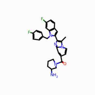 Cc1c(-c2cc3ccc(F)cc3n2Cc2ccc(F)cc2)nc2cc(C(=O)N3CCCC(N)C3)ccn12